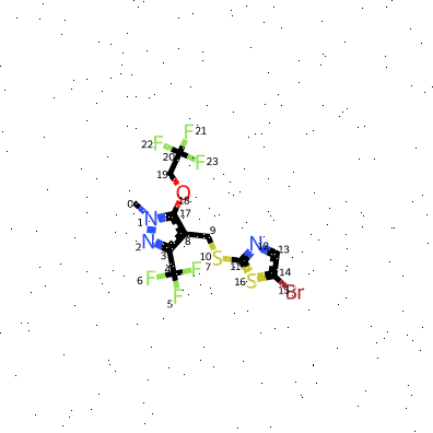 Cn1nc(C(F)(F)F)c(CSc2ncc(Br)s2)c1OCC(F)(F)F